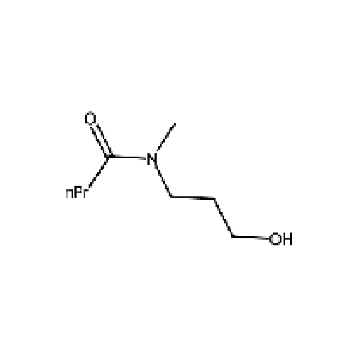 CCCC(=O)N(C)CCCO